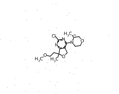 COCCC1(C)OCc2c(N3CCOC[C@@H]3C)nc(Cl)nc21